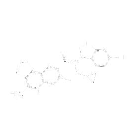 Nc1nc2cc(F)c(C(=O)N(CC3CC3)[C@H]3COc4cc(C(F)(F)F)ccc43)cc2c2c1COC2